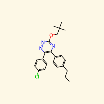 CCCc1ccc(-c2nc(OCC(C)(C)C)nnc2-c2ccc(Cl)cc2)cc1